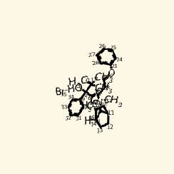 CC(C)(C)C(O)(C(=O)O[C@@H]1CC2CC[C@H]1C2[N+](C)(C)CCCOc1ccccc1)c1ccccc1.[Br-]